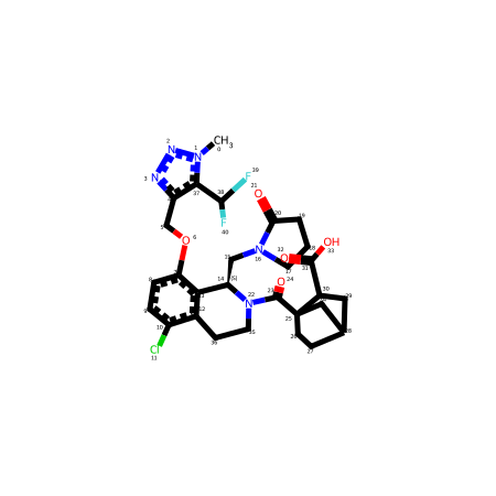 Cn1nnc(COc2ccc(Cl)c3c2[C@@H](CN2CCCC2=O)N(C(=O)C24CCC(CC2C(=O)O)C4)CC3)c1C(F)F